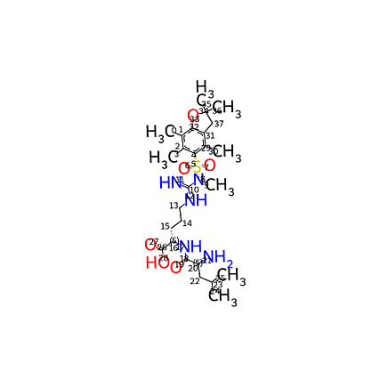 Cc1c(C)c(S(=O)(=O)N(C)C(=N)NCCC[C@H](NC(=O)[C@@H](N)CC(C)C)C(=O)O)c(C)c2c1OC(C)(C)C2